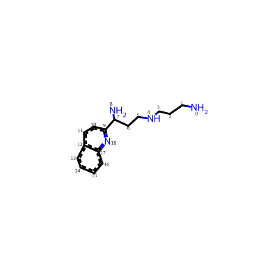 NCCCNCCC(N)c1ccc2ccccc2n1